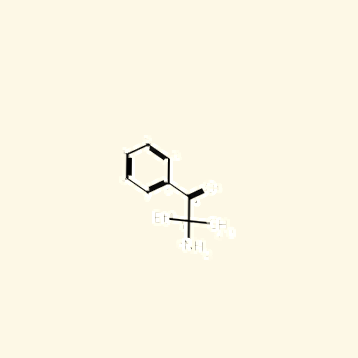 CCC(C)(N)C(=O)c1ccccc1